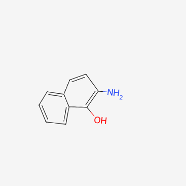 Nc1ccc2ccccc2c1O